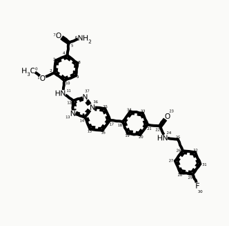 COc1cc(C(N)=O)ccc1Nc1nc2ccc(-c3ccc(C(=O)NCc4ccc(F)cc4)cc3)cn2n1